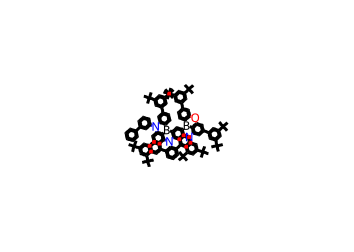 CC(C)(C)c1cc(-c2ccc3c(c2)Oc2cc(-c4cc(C(C)(C)C)cc(C(C)(C)C)c4)cc4c2B3c2cc3c(cc2N4c2cc(C(C)(C)C)cc(C(C)(C)C)c2)N(c2c(-c4ccccc4)cccc2-c2ccccc2)c2cc(-c4cc(C(C)(C)C)cc(C(C)(C)C)c4)cc4c2B3c2ccc(-c3cc(C(C)(C)C)cc(C(C)(C)C)c3)cc2N4c2cccc(-c3ccccc3)c2)cc(C(C)(C)C)c1